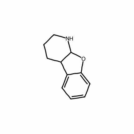 c1ccc2c(c1)OC1NCCCC21